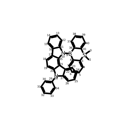 CS1(C)c2ccccc2B(n2c3ccccc3c3ccc4c(c5ccccc5n4-c4ccccc4)c32)c2ccccc21